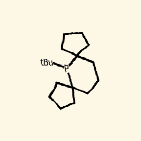 CC(C)(C)P1C2(CCCC2)CCCC12CCCC2